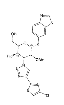 COC1C(n2cc(-c3nc(Cl)cs3)nn2)[C@@H](O)C(CO)O[C@@H]1Sc1ccc2ncsc2c1